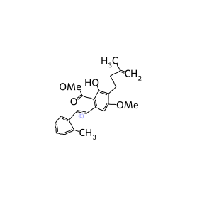 C=C(C)CCc1c(OC)cc(/C=C/c2ccccc2C)c(C(=O)OC)c1O